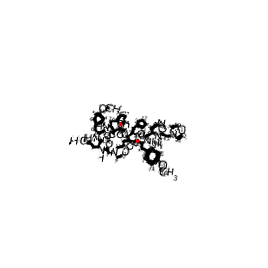 C#CCC(NC(=O)CN1CCOC(CC2(C(=O)C(CC3=CCCC3)NC(=O)C(Cc3ccc(OC)cc3)NC(=O)C(CC#N)NC(=O)CN3CCOCC3)CO2)C1)C(=O)NC(Cc1ccc(OC)cc1)C(=O)NC(CC1=CCCC1)C(=O)C1(C)CO1